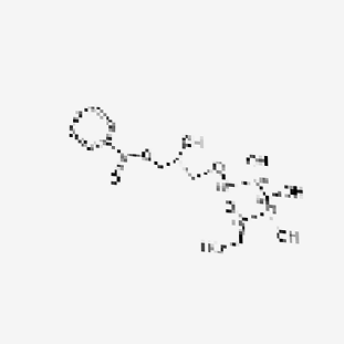 O=C(OCC(O)CO[C@@H]1O[C@H](CO)[C@@H](O)[C@H](O)[C@H]1O)c1ccccc1